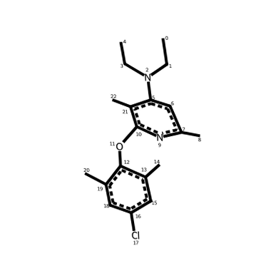 CCN(CC)c1cc(C)nc(Oc2c(C)cc(Cl)cc2C)c1C